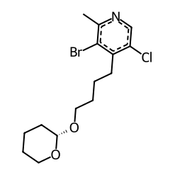 Cc1ncc(Cl)c(CCCCO[C@H]2CCCCO2)c1Br